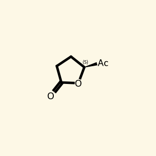 CC(=O)[C@@H]1CCC(=O)O1